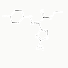 CCOC(=O)C(=NO[C@H]1CC[C@@H](C)CC1)c1csc(N)n1